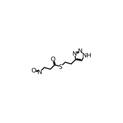 O=NCCC(=O)SCCc1c[nH]nn1